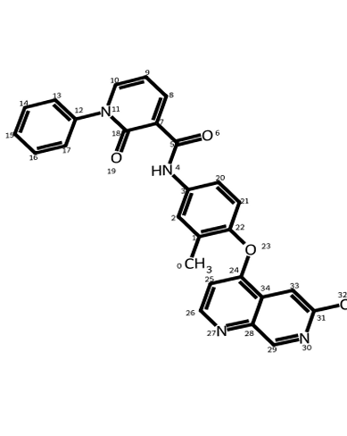 Cc1cc(NC(=O)c2cccn(-c3ccccc3)c2=O)ccc1Oc1ccnc2cnc(Cl)cc12